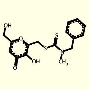 CN(Cc1ccccc1)C(=S)SCc1oc(CO)cc(=O)c1O